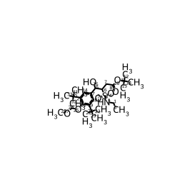 CCNS(=O)(=O)C(CC(=O)OC(C)(C)C)C(O)c1cc(C(C)(C)C)c(OCOC)c(C(C)(C)C)c1